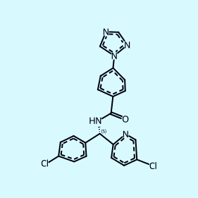 O=C(N[C@@H](c1ccc(Cl)cc1)c1ccc(Cl)cn1)c1ccc(-n2cncn2)cc1